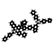 c1ccc(-c2ccc(-c3nc(-c4ccc(-c5ccccc5)cc4)nc(-c4cc(-c5ccc(-c6ccc7c(c6)C6(c8cc(-c9cc%10ccccc%10cc9-c9nc(-c%10ccc(-c%11ccccc%11)cc%10)nc(-c%10ccc(-c%11ccccc%11)cc%10)n9)ccc8-7)C7CC8CC(C7)CC6C8)cc5)c5ccccc5c4)n3)cc2)cc1